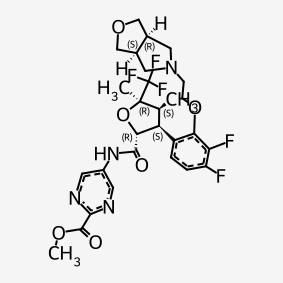 COC(=O)c1ncc(NC(=O)[C@@H]2O[C@@](C)(C(F)(F)F)[C@@H](C)[C@H]2c2ccc(F)c(F)c2OCCN2C[C@H]3COC[C@H]3C2)cn1